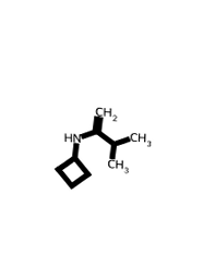 C=C(NC1CCC1)C(C)C